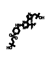 CC(C)(O)CCS(=O)(=O)N1CCC(Nc2ncc(C(F)(F)F)c(-c3cnn(CC(C)(C)O)c3)n2)CC1